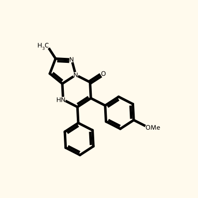 COc1ccc(-c2c(-c3ccccc3)[nH]c3cc(C)nn3c2=O)cc1